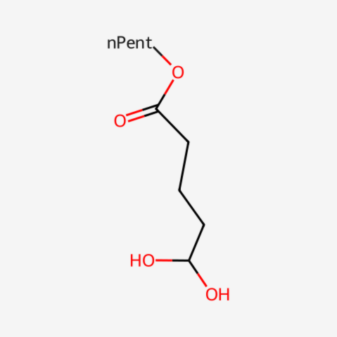 CCCCCOC(=O)CCCC(O)O